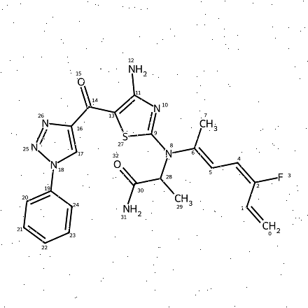 C=C/C(F)=C\C=C(/C)N(c1nc(N)c(C(=O)c2cn(-c3ccccc3)nn2)s1)C(C)C(N)=O